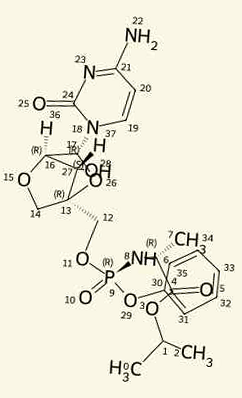 CC(C)OC(=O)[C@@H](C)N[P@@](=O)(OC[C@@]12CO[C@@H]([C@H](n3ccc(N)nc3=O)O1)[C@@H]2O)Oc1ccccc1